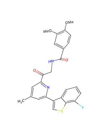 COc1ccc(C(=O)NCC(=O)c2cc(C)cc(-c3csc4c(F)cccc34)n2)cc1OC